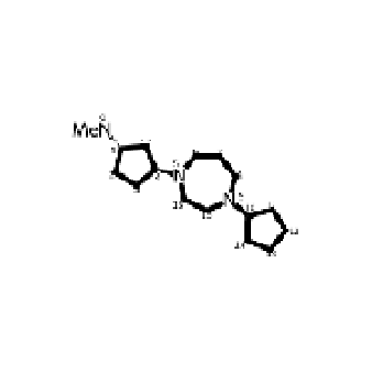 CN[C@H]1CC[C@H](N2CCCN(C3CCCC3)CC2)C1